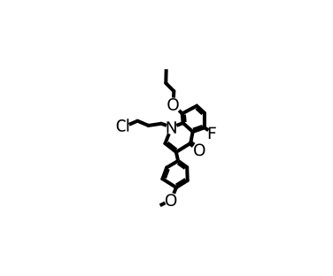 CCCOc1ccc(F)c2c(=O)c(-c3ccc(OC)cc3)cn(CCCCl)c12